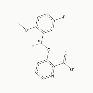 COc1ccc(F)cc1[C@@H](C)Oc1cccnc1[N+](=O)[O-]